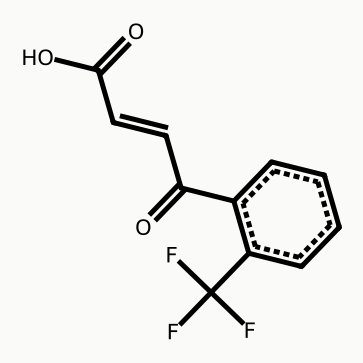 O=C(O)C=CC(=O)c1ccccc1C(F)(F)F